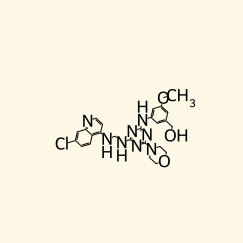 COc1cc(CO)cc(Nc2nc(NCNc3ccnc4cc(Cl)ccc34)nc(N3CCOCC3)n2)c1